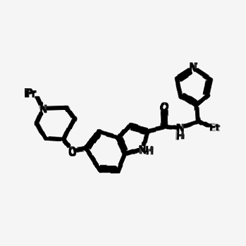 CCC(NC(=O)c1cc2cc(OC3CCN(C(C)C)CC3)ccc2[nH]1)c1ccncc1